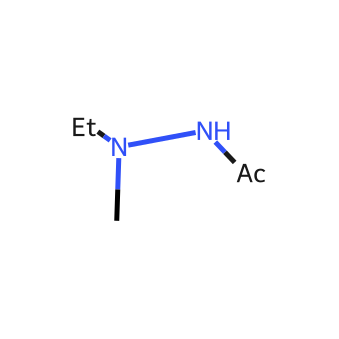 CCN(C)NC(C)=O